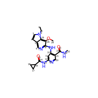 CCn1ccc2cnc(Nc3cc(NC(=O)C4CC4)ncc3C(=O)NC)c(OC)c21